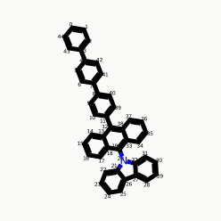 c1ccc(-c2ccc(-c3ccc(-c4c5ccccc5c(-n5c6ccccc6c6ccccc65)c5ccccc45)cc3)cc2)cc1